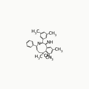 Cc1cc(C)cc(/C2=N/C(c3ccccc3)=C\CC(C)(C)c3c(C)cc(C)cc3C2=N)c1